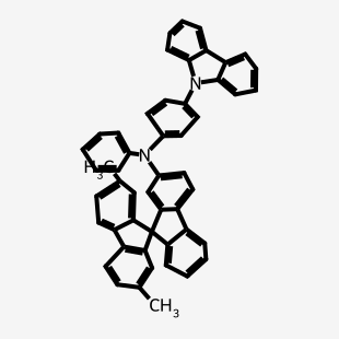 Cc1ccc2c(c1)C1(c3ccccc3-c3ccc(N(c4ccccc4)c4ccc(-n5c6ccccc6c6ccccc65)cc4)cc31)c1cc(C)ccc1-2